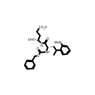 CNc1ccccc1C(C)C[C@H](NC(=O)OCc1ccccc1)C(=O)N[C@H](C=O)CCC(=O)O